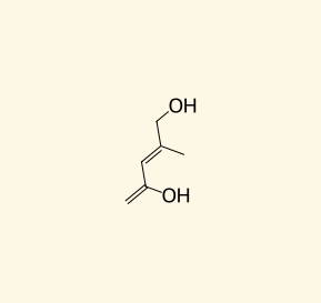 C=C(O)/C=C(\C)CO